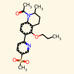 CCCOc1c(-c2ccc(S(C)(=O)=O)cn2)ccc2c1CCC(C)N2C(C)=O